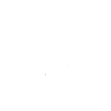 C=C(Br)CSC(O)C(=O)O